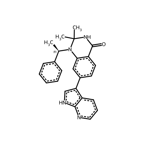 C[C@H](c1ccccc1)N1c2cc(-c3c[nH]c4ncccc34)ccc2C(=O)NC1(C)C